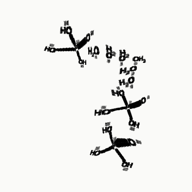 O.O.O.O.O.O.O=P(O)(O)O.O=P(O)(O)O.O=P(O)(O)O